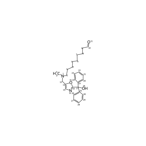 CN(CCCCCCCCC=O)Cc1cnc(C(O)(c2ccccc2)c2ccccc2)o1